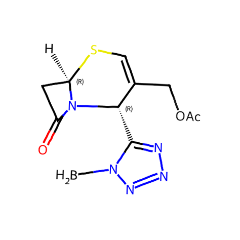 Bn1nnnc1[C@H]1C(COC(C)=O)=CS[C@@H]2CC(=O)N12